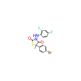 CC1(c2ccc(Br)cc2)SC(=O)N(Nc2ccc(F)cc2F)C1=O